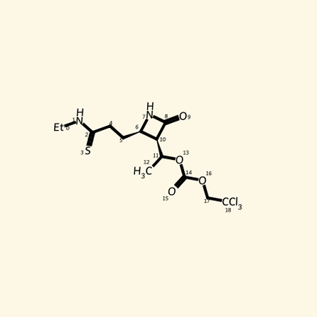 CCNC(=S)CC[C@H]1NC(=O)[C@H]1C(C)OC(=O)OCC(Cl)(Cl)Cl